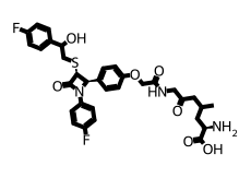 CC(CC(=O)CNC(=O)COc1ccc([C@@H]2[C@@H](SCC(O)c3ccc(F)cc3)C(=O)N2c2ccc(F)cc2)cc1)C[C@@H](N)C(=O)O